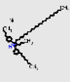 CCCCCCCCCCCCCCCCCCCCCCCCCC1=C(c2ccc(CCCC)cc2)[N+](=[N-])C(c2cccc(CCCCCCCC)c2)=C1CCCC.[Ni]